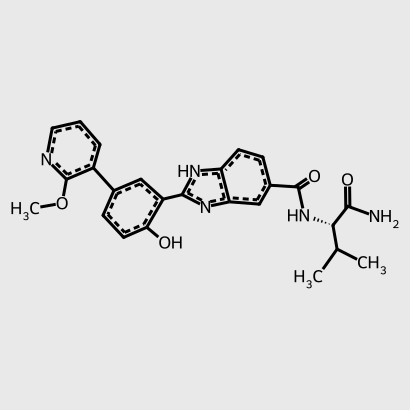 COc1ncccc1-c1ccc(O)c(-c2nc3cc(C(=O)N[C@H](C(N)=O)C(C)C)ccc3[nH]2)c1